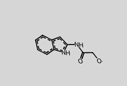 [O]CC(=O)Nc1cc2ccccc2[nH]1